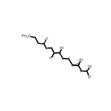 CCOC(=O)CCC(Cl)CCC(Cl)C(Cl)CCCC(Cl)CC(Cl)CC